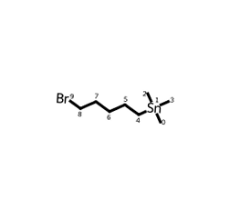 [CH3][Sn]([CH3])([CH3])[CH2]CCCCBr